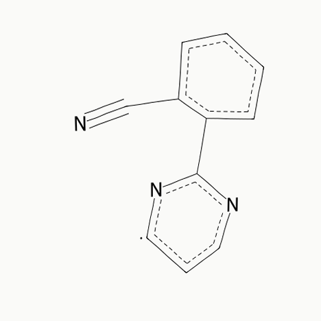 N#Cc1ccccc1-c1n[c]ccn1